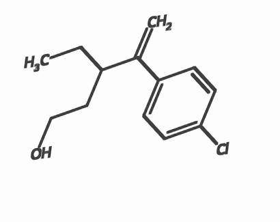 C=C(c1ccc(Cl)cc1)C(CC)CCO